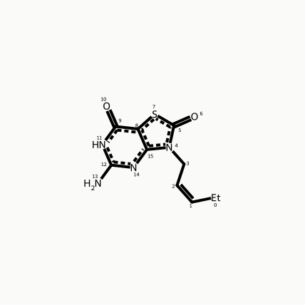 CC/C=C\Cn1c(=O)sc2c(=O)[nH]c(N)nc21